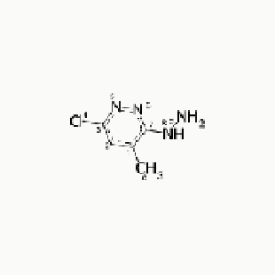 Cc1cc(Cl)nnc1NN